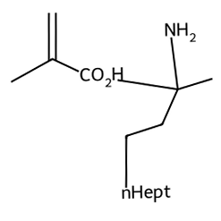 C=C(C)C(=O)O.CCCCCCCCCC(C)(C)N